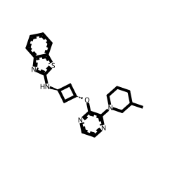 CC1CCCN(c2nccnc2O[C@H]2C[C@H](Nc3nc4ccccc4s3)C2)C1